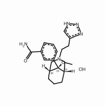 CO[C@]1(c2cccc(C(N)=O)c2)[C@@H]2CCC[C@H]1CN(CCc1c[nH]nn1)C2.Cl